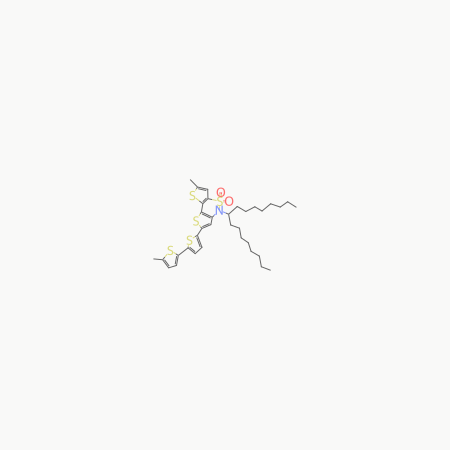 CCCCCCCCC(CCCCCCCC)N1c2cc(-c3ccc(-c4ccc(C)s4)s3)sc2-c2sc(C)cc2S1(=O)=O